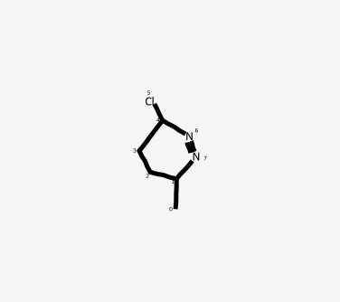 CC1CCC(Cl)N=N1